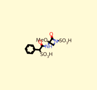 COC1(NC(=O)C(c2ccccc2)S(=O)(=O)O)CN(S(=O)(=O)O)C1=O